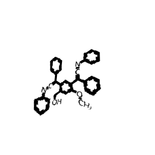 COc1cc(CO)c(C(=C=Nc2ccccc2)c2ccccc2)cc1C(=C=Nc1ccccc1)c1ccccc1